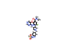 CCN(C(=O)c1cc(F)ccc1Oc1cncnc1NC[C@@H]1CCN(C[C@H]2CC[C@H](NS(C)(=O)=O)CC2)C1)C(C)C